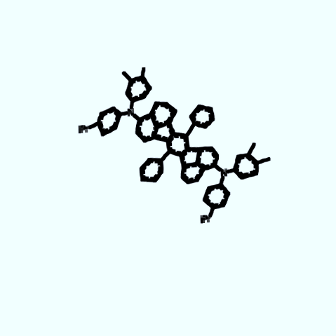 Cc1ccc(N(c2ccc(C(C)C)cc2)c2ccc3c4c(-c5ccccc5)c5c6cccc7c(N(c8ccc(C(C)C)cc8)c8ccc(C)c(C)c8)ccc(c5c(-c5ccccc5)c4c4cccc2c43)c76)cc1C